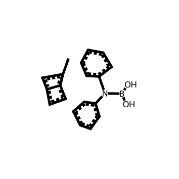 Cc1cc2ccc1-2.OB(O)N(c1ccccc1)c1ccccc1